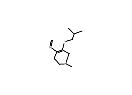 C=NC1=C(SCC(C)C)CN(C)CC1